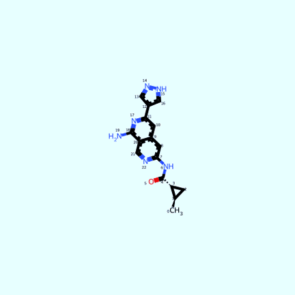 C[C@@H]1C[C@H]1C(=O)Nc1cc2cc(-c3cn[nH]c3)nc(N)c2cn1